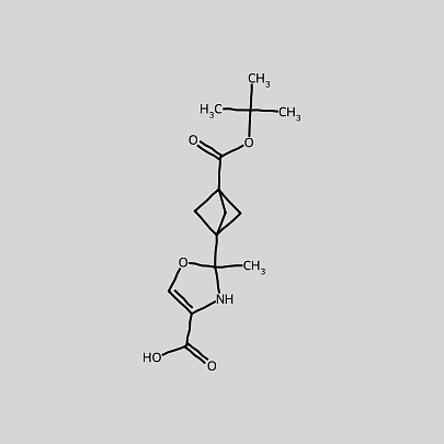 CC(C)(C)OC(=O)C12CC(C3(C)NC(C(=O)O)=CO3)(C1)C2